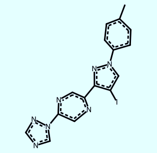 Cc1ccc(-n2cc(I)c(-c3cnc(-n4cncn4)cn3)n2)cc1